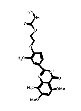 CCCNC(=O)OCCOc1ccc(-c2nc3c(C)c(OC)cc(OC)c3c(=O)[nH]2)cc1C